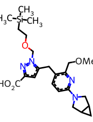 COCc1nc(N2CC3CC3C2)ccc1Cc1cc(C(=O)O)nn1COCC[Si](C)(C)C